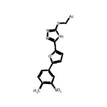 CC(=O)CSc1nnc(-c2ccc(-c3ccc(C)c([N+](=O)[O-])c3)o2)[nH]1